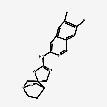 Fc1cc2cnc(NC3=NC[C@@]4(CN5CCC4CC5)O3)cc2cc1F